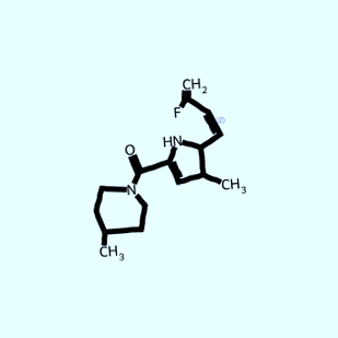 C=C(F)/C=C\C1NC(C(=O)N2CCC(C)CC2)=CC1C